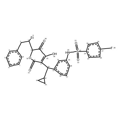 CCC(Cc1ccccc1)C1OC(=O)C(C(c2cccc(NS(=O)(=O)c3ccc(F)cc3)c2)C2CC2)=C(O)C1=O